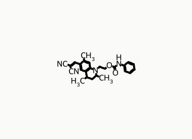 Cc1cc2c(cc1C=C(C#N)C#N)C(C)CC(C)N2CCOC(=O)Nc1ccccc1